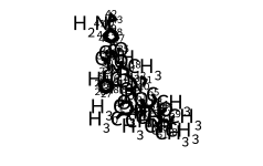 CC[C@H](C)[C@@H]([C@@H](CC(=O)N1CCC[C@H]1[C@H](OC)[C@@H](C)C(=O)N[C@@H](Cc1ccccc1)C(=O)NS(=O)(=O)c1ccc(C2(N)CC2)cc1)OC)N(C)C(=O)[C@@H](NC(=O)C(C(C)C)N(C)C)C(C)C